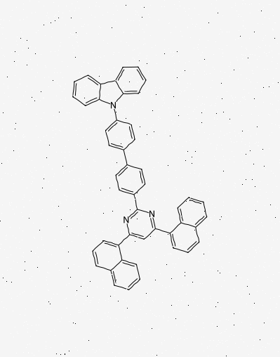 c1ccc2c(-c3cc(-c4cccc5ccccc45)nc(-c4ccc(-c5ccc(-n6c7ccccc7c7ccccc76)cc5)cc4)n3)cccc2c1